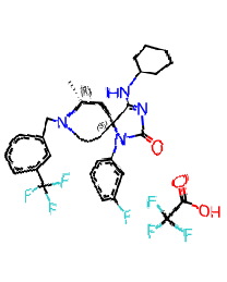 C[C@@H]1C[C@@]2(CCN1Cc1cccc(C(F)(F)F)c1)C(NC1CCCCC1)=NC(=O)N2c1cccc(F)c1.O=C(O)C(F)(F)F